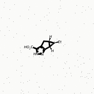 CC[C@@H]1[C@H]2Cc3c(n[nH]c3C(=O)O)[C@@H]12